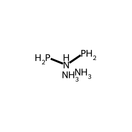 N.N.PNP